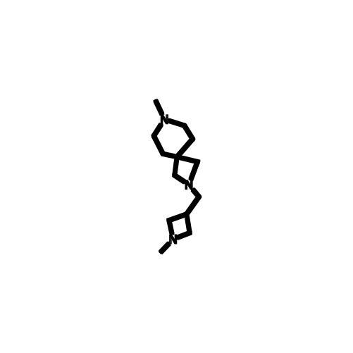 CN1CCC2(CC1)CN(CC1CN(C)C1)C2